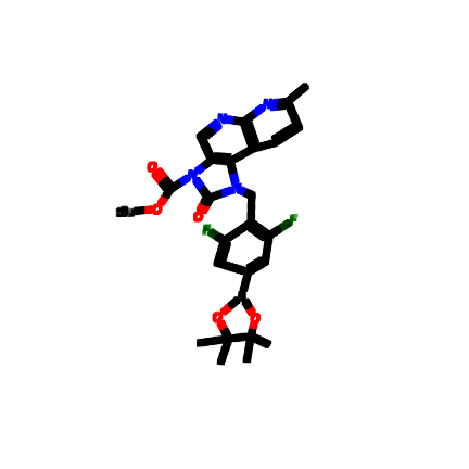 Cc1ccc2c(ncc3c2n(Cc2c(F)cc(B4OC(C)(C)C(C)(C)O4)cc2F)c(=O)n3C(=O)OC(C)(C)C)n1